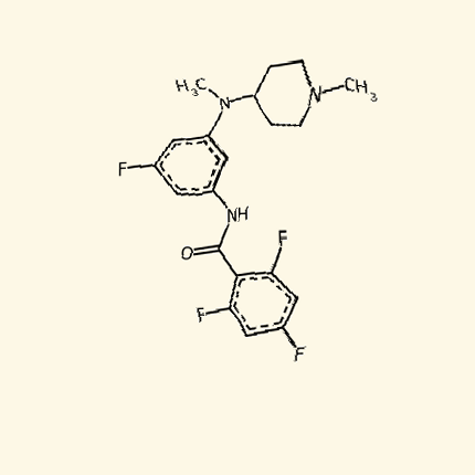 CN1CCC(N(C)c2cc(F)cc(NC(=O)c3c(F)cc(F)cc3F)c2)CC1